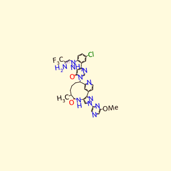 COc1cncc(-n2cc3c(n2)-c2ccnc(c2)C(n2cnc(-c4cc(Cl)ccc4N(N)/C=C(\N)C(F)(F)F)cc2=O)CCCC(C)C(=O)N3)n1